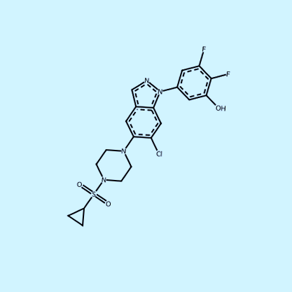 O=S(=O)(C1CC1)N1CCN(c2cc3cnn(-c4cc(O)c(F)c(F)c4)c3cc2Cl)CC1